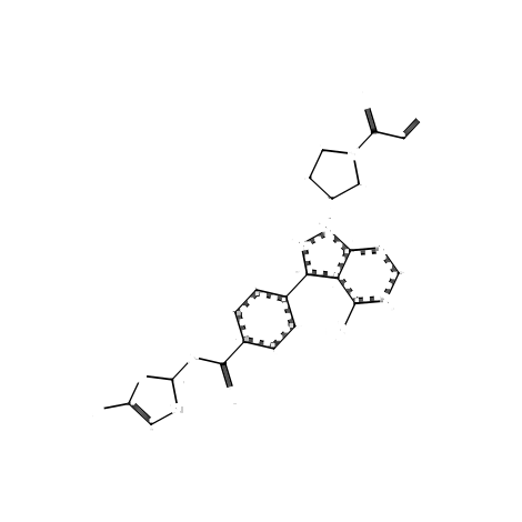 C=CC(=O)N1CC[C@@H](n2nc(-c3ccc(C(=O)NC4NC=C(C)S4)cc3)c3c(N)ncnc32)C1